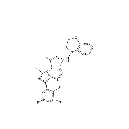 Cc1nn(-c2cc(F)cc(F)c2F)c2ncc3c(c12)C(C)C=C3NN1CCOc2ccccc21